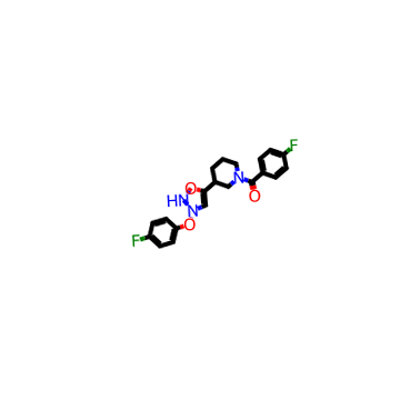 O=C(c1ccc(F)cc1)N1CCCC(C2=CN(Oc3ccc(F)cc3)NO2)C1